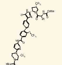 COC(=O)N[C@H](C(=O)N1C[C@@H](C)C[C@H]1c1nc(-c2ccc(-c3ccc(C(=O)Nc4ccc(N5CCN(C(=O)C(C)(C)C)C[C@H]5C)nc4)cc3OC(F)(F)F)cc2)c(Cl)[nH]1)C(C)C